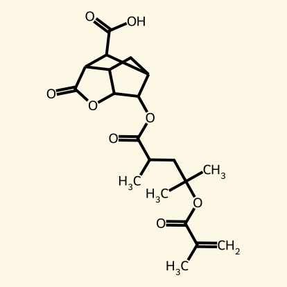 C=C(C)C(=O)OC(C)(C)CC(C)C(=O)OC1C2CC3C1OC(=O)C3C2C(=O)O